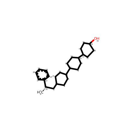 C[C@@H](CC1CCC(C2CCC(C3CCC(O)CC3)CC2)CC1)c1ccccc1